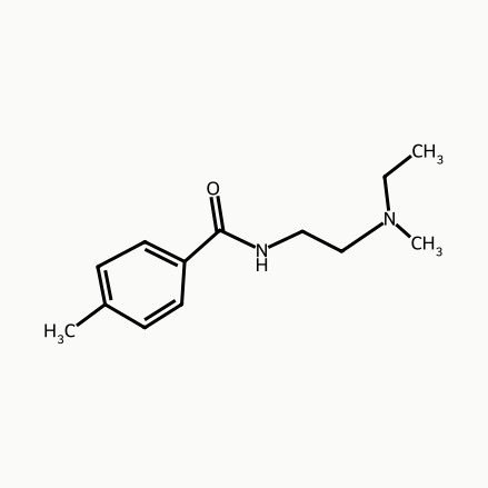 CCN(C)CCNC(=O)c1ccc(C)cc1